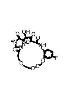 CN1CN2C(=O)CCOCCOCCOc3cc(F)ccc3CNC(=O)c3cn2c(c(O)c3=O)C1=O